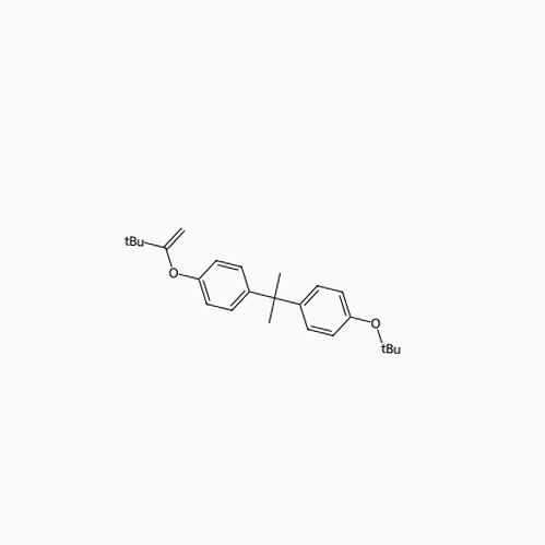 C=C(Oc1ccc(C(C)(C)c2ccc(OC(C)(C)C)cc2)cc1)C(C)(C)C